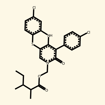 CCC(C)C(C)C(=O)OCn1cc2c(c(-c3ccc(Cl)cc3)c1=O)Nc1cc(Cl)ccc1S2